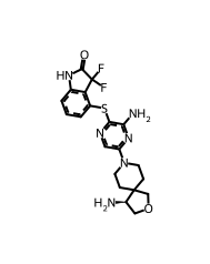 Nc1nc(N2CCC3(CC2)COC[C@H]3N)cnc1Sc1cccc2c1C(F)(F)C(=O)N2